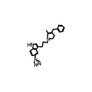 CC1=C(Cc2ccccc2)CCN(CCCc2c[nH]c3ccc(-n4cnnc4)cc23)C1